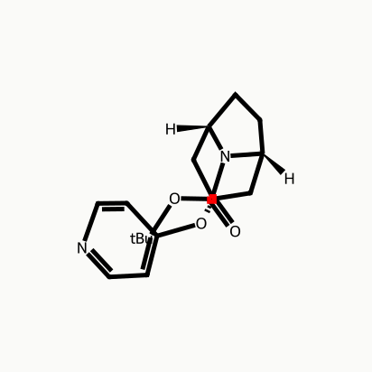 CC(C)(C)OC(=O)N1[C@@H]2CC[C@H]1C[C@@H](Oc1ccncc1)C2